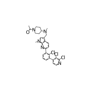 CC(=O)N1CCC(N(C)Cc2cn(C)c3nc(-c4cccc(-c5ccnc(Cl)c5Cl)c4Cl)ccc23)CC1